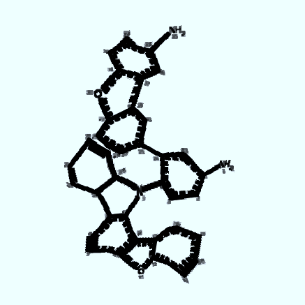 Nc1ccc(N2c3c(c#cc4oc5ccccc5c34)C3C=CC=CC32)c(-c2ccc3oc4ccc(N)cc4c3c2)c1